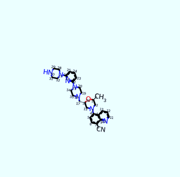 C[C@@H]1CN(c2ccc(C#N)c3ncccc23)C[C@H](CN2CCN(c3cccc(N4CCNCC4)n3)CC2)O1